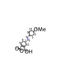 COc1ccc(/C=C/c2ccc3c(c2)C(O)OC3=O)cc1